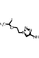 CC(I)OCCn1cc(N)nn1